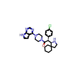 O=C([C@@H](c1ccc(Cl)cc1)[C@H]1NCCC12CCCCC2)N1CCN(c2ncnc3[nH]ccc23)CC1